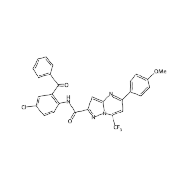 COc1ccc(-c2cc(C(F)(F)F)n3nc(C(=O)Nc4ccc(Cl)cc4C(=O)c4ccccc4)cc3n2)cc1